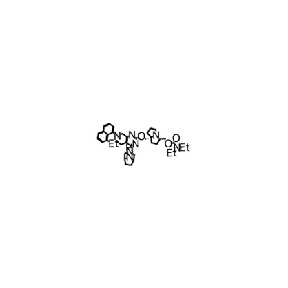 CCc1cccc2cccc(N3CCc4c(nc(OC[C@]56CCCN5[C@@H](COC(=O)N(CC)CC)CC6)nc4N4CC5CCC(C4)N5)C3)c12